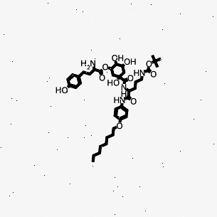 CCCCCCCCOc1ccc(NC(=O)C(CCCNC(=O)OC(C)(C)C)NC(=O)C2(O)CC(O)C(O)C(OC(=O)C(N)CCc3ccc(O)cc3)C2)cc1